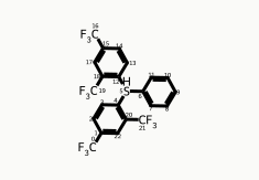 FC(F)(F)c1ccc([SH](c2ccccc2)c2ccc(C(F)(F)F)cc2C(F)(F)F)c(C(F)(F)F)c1